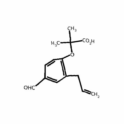 C=CCc1cc(C=O)ccc1OC(C)(C)C(=O)O